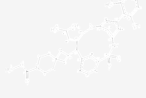 COC(=O)N1CCC2(CC1)CC(C1c3cccc(c3)S(=O)(=O)Nc3cc(cc(-c4c(C)cccc4C)n3)OC[C@H]1CC(C)C)C2